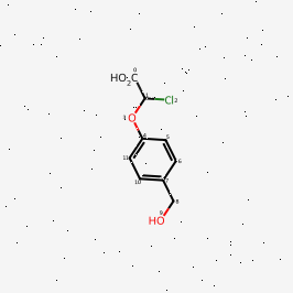 O=C(O)C(Cl)Oc1ccc(CO)cc1